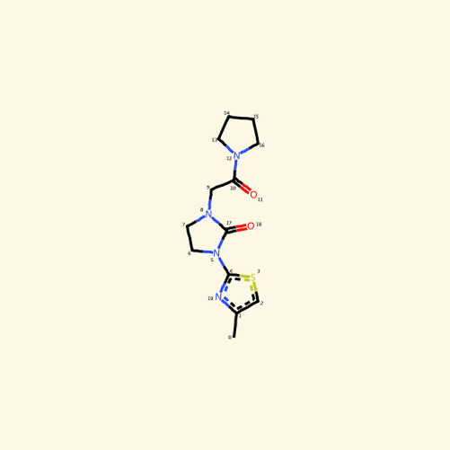 Cc1csc(N2CCN(CC(=O)N3CCCC3)C2=O)n1